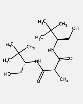 CC(C(=O)N[C@H](CO)C(C)(C)C)C(=O)N[C@H](CO)C(C)(C)C